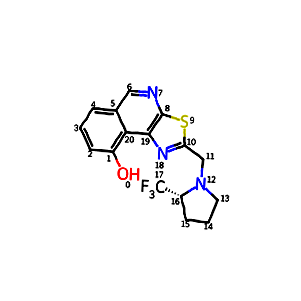 Oc1cccc2cnc3sc(CN4CCC[C@@H]4C(F)(F)F)nc3c12